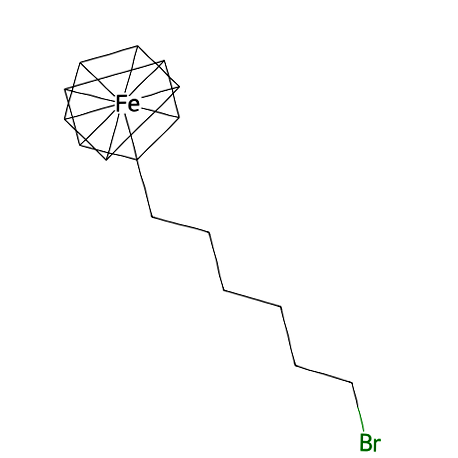 BrCCCCCC[C]12[CH]3[CH]4[CH]5[CH]1[Fe]45321678[CH]2[CH]1[CH]6[CH]7[CH]28